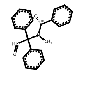 C[C@H](c1ccccc1)N(C)C([PH2]=O)(c1ccccc1)c1ccccc1